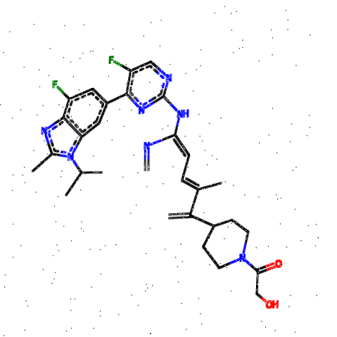 C=N/C(=C\C=C(/C)C(=C)C1CCN(C(=O)CO)CC1)Nc1ncc(F)c(-c2cc(F)c3nc(C)n(C(C)C)c3c2)n1